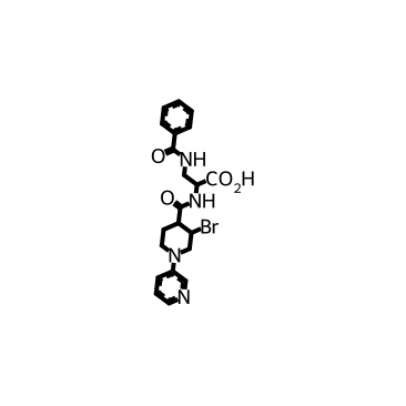 O=C(NCC(NC(=O)C1CCN(c2cccnc2)CC1Br)C(=O)O)c1ccccc1